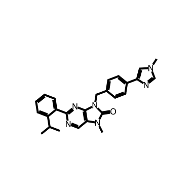 CC(C)c1ccccc1-c1ncc2c(n1)n(Cc1ccc(-c3cn(C)cn3)cc1)c(=O)n2C